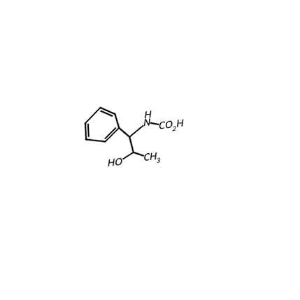 CC(O)C(NC(=O)O)c1ccccc1